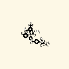 CN(C(=O)N(C)[C@@H]1CN(C(=O)C2CCC(N3C(=O)OC(C)(C)C3=O)CC2)C[C@H]1c1ccc(F)cc1)c1cc(C(F)(F)F)cc(C(F)(F)F)c1